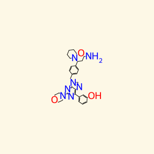 NC(=O)CC(c1ccc(Cn2cnc3c(-c4cccc(O)c4)nc(N4CCOCC4)nc32)cc1)N1CCCCC1